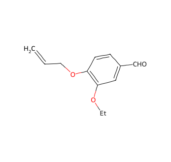 C=CCOc1ccc(C=O)cc1OCC